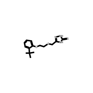 CC(C)(C)c1ccccc1OCCSCc1n[nH]c(=S)[nH]1